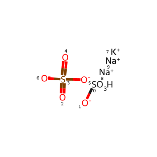 O=S(=O)([O-])O.O=S(=O)([O-])[O-].[K+].[Na+].[Na+]